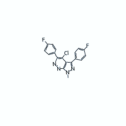 Cn1nc(-c2ccc(F)cc2)c2c(Cl)c(-c3ccc(F)cc3)nnc21